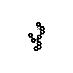 c1ccc(-c2cccc(N(c3ccc(-c4ccc5ccc6c7ccccc7sc6c5c4)cc3)c3ccc4ccc5ccccc5c4c3)c2)cc1